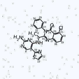 CC(Nc1nc(N)ncc1-c1nccs1)c1nc2cccc(Cl)c2c(=O)n1-c1ccccc1